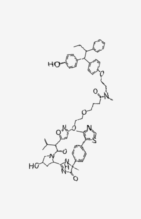 CCC(c1ccccc1)C(c1ccc(O)cc1)c1ccc(OCCN(C)C(=O)CCCOCCOc2cc(C(C(=O)N3CC(O)CC3C3=NC(=O)C(C)(c4ccc(-c5scnc5C)cc4)N3)C(C)C)on2)cc1